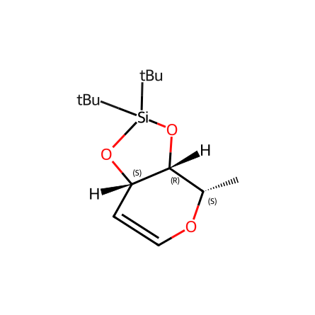 C[C@@H]1OC=C[C@@H]2O[Si](C(C)(C)C)(C(C)(C)C)O[C@H]12